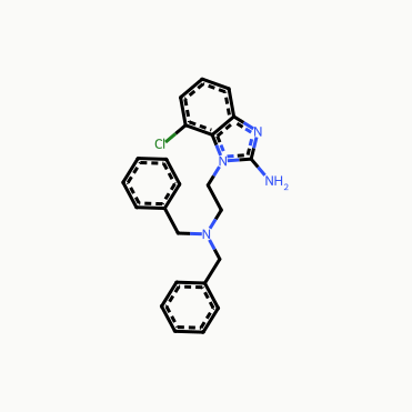 Nc1nc2cccc(Cl)c2n1CCN(Cc1ccccc1)Cc1ccccc1